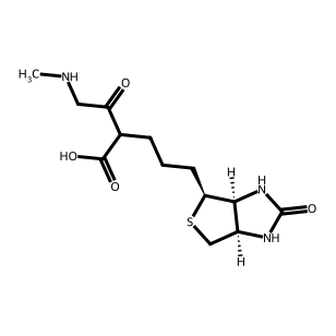 CNCC(=O)C(CCC[C@@H]1SC[C@@H]2NC(=O)N[C@@H]21)C(=O)O